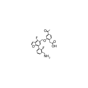 CC(=O)c1ccc(CC(=O)O)c(OCc2cc(-c3cccc(CN)c3F)c3occc3c2F)c1